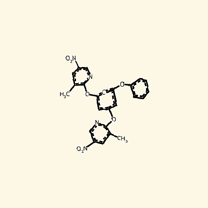 Cc1cc([N+](=O)[O-])cnc1Oc1cc(Oc2ccccc2)cc(Oc2ncc([N+](=O)[O-])cc2C)c1